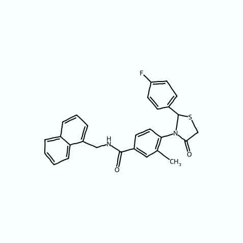 Cc1cc(C(=O)NCc2cccc3ccccc23)ccc1N1C(=O)CSC1c1ccc(F)cc1